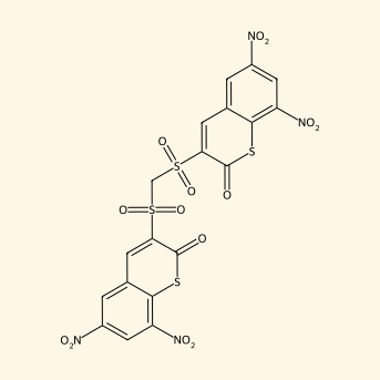 O=c1sc2c([N+](=O)[O-])cc([N+](=O)[O-])cc2cc1S(=O)(=O)CS(=O)(=O)c1cc2cc([N+](=O)[O-])cc([N+](=O)[O-])c2sc1=O